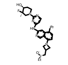 CC[S+]([O-])CC1CN(c2ccc(C(C)C)c3cc(Nc4ccnc(N5CC[C@H](O)[C@](C)(F)C5)n4)ncc23)C1